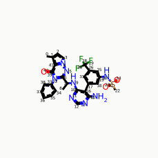 Cc1ccn2nc(C(C)Nc3ncnc(N)c3-c3cc(NS(C)(=O)=O)cc(C(F)(F)F)c3)n(-c3ccccc3)c(=O)c12